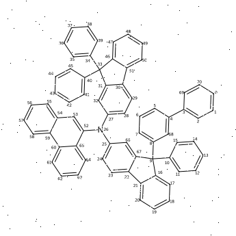 c1ccc(-c2cccc(C3(c4ccccc4)c4ccccc4-c4ccc(N(c5ccc6c(c5)C(c5ccccc5)(c5ccccc5)c5ccccc5-6)c5cc6ccccc6c6ccccc56)cc43)c2)cc1